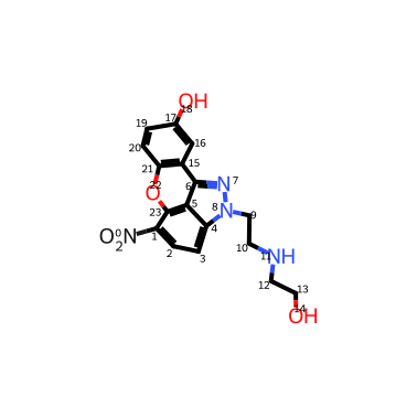 O=[N+]([O-])c1ccc2c3c(nn2CCNCCO)-c2cc(O)ccc2Oc13